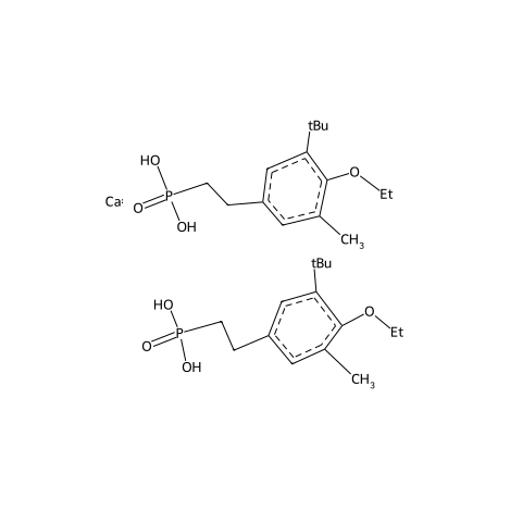 CCOc1c(C)cc(CCP(=O)(O)O)cc1C(C)(C)C.CCOc1c(C)cc(CCP(=O)(O)O)cc1C(C)(C)C.[Ca]